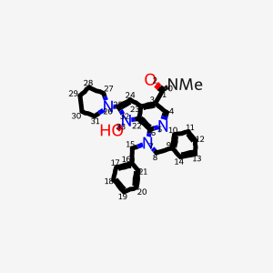 CNC(=O)c1cnc(N(Cc2ccccc2)Cc2ccccc2)c2c1cc(N1CCCCC1)n2O